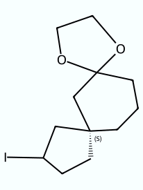 IC1CC[C@]2(CCCC3(C2)OCCO3)C1